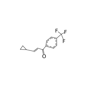 O=C(C=CC1CC1)c1ccc(C(F)(F)F)cc1